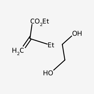 C=C(CC)C(=O)OCC.OCCO